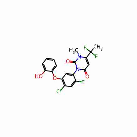 Cn1c(C(C)(F)F)cc(=O)n(-c2cc(Oc3ccccc3O)c(Cl)cc2F)c1=O